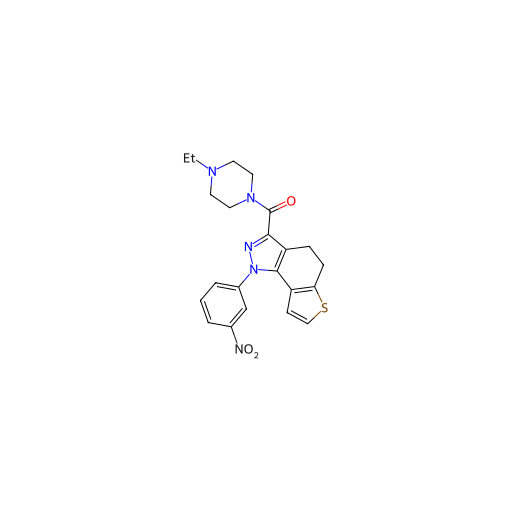 CCN1CCN(C(=O)c2nn(-c3cccc([N+](=O)[O-])c3)c3c2CCc2sccc2-3)CC1